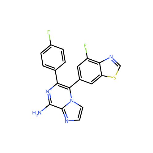 Nc1nc(-c2ccc(F)cc2)c(-c2cc(F)c3ncsc3c2)n2ccnc12